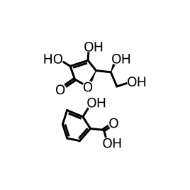 O=C(O)c1ccccc1O.O=C1O[C@H]([C@@H](O)CO)C(O)=C1O